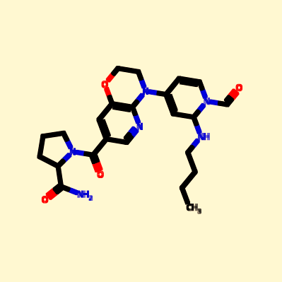 CCCCNC1C=C(N2CCOc3cc(C(=O)N4CCCC4C(N)=O)cnc32)C=CN1C=O